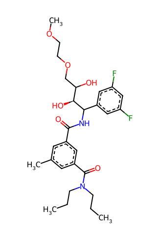 CCCN(CCC)C(=O)c1cc(C)cc(C(=O)NC(c2cc(F)cc(F)c2)[C@@H](O)C(O)COCCOC)c1